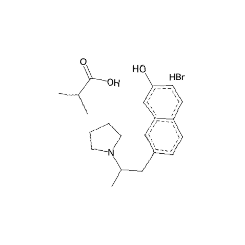 Br.CC(C)C(=O)O.CC(Cc1ccc2ccc(O)cc2c1)N1CCCC1